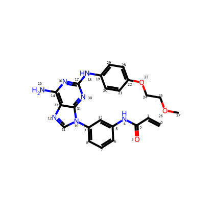 C=CC(=O)Nc1cccc(-n2cnc3c(N)nc(Nc4ccc(OCCOC)cc4)nc32)c1